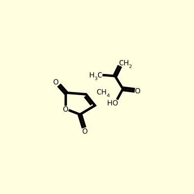 C.C=C(C)C(=O)O.O=C1C=CC(=O)O1